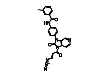 Cc1cccc(C(=O)Nc2ccc(-n3c(=O)n(C(=O)C=CN=[N+]=[N-])c4ccncc43)cc2)c1